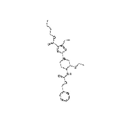 CCCCOC(=O)c1nc(N2CCC(NC(=O)OCc3ccccc3)C(OCC)C2)oc1CC